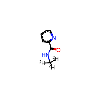 [2H]C([2H])([2H])NC(=O)c1ccccn1